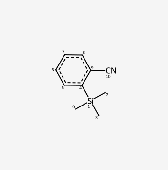 C[Si](C)(C)c1ccccc1C#N